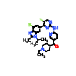 CCN1CCC(C(=O)c2ccc(Nc3ncc(F)c(-c4cc(F)c5nc(C)n(C(C)C)c5c4)n3)nc2)CC1